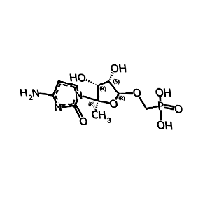 C[C@@]1(n2ccc(N)nc2=O)O[C@H](OCP(=O)(O)O)[C@@H](O)[C@H]1O